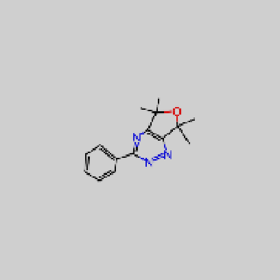 CC1(C)OC(C)(C)c2nc(-c3ccccc3)nnc21